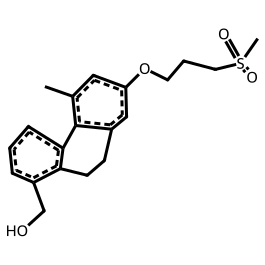 Cc1cc(OCCCS(C)(=O)=O)cc2c1-c1cccc(CO)c1CC2